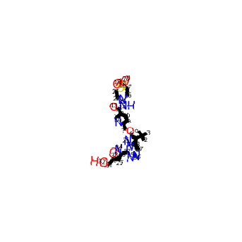 CC(C)(C)c1c(OCc2ccc(C(=O)NN3CCS(=O)(=O)CC3)cn2)nn2c(-c3cc(CO)on3)nncc12